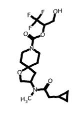 CN(C(=O)CC1CC1)C1COC2(CCN(C(=O)OC(CO)C(F)(F)F)CC2)C1